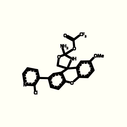 COc1ccc2c(c1)C1(COC(N)(OC(=O)C(F)(F)F)N1)c1cc(-c3cccnc3Cl)ccc1O2